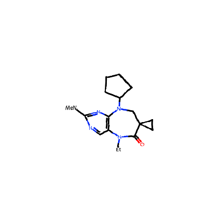 CCN1C(=O)C2(CC2)CN(C2CCCC2)c2nc(NC)ncc21